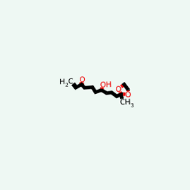 C=CC(=O)CCCC(O)CCCC1(C)OCCO1